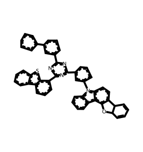 C1=CC2Oc3c(ccc4c3c3ccccc3n4-c3cccc(-c4nc(-c5cccc(-c6ccccc6)c5)nc(-c5cccc6c5sc5ccccc56)n4)c3)C2C=C1